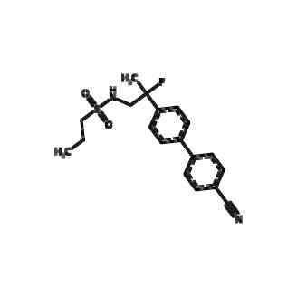 CCCS(=O)(=O)NCC(C)(F)c1ccc(-c2ccc(C#N)cc2)cc1